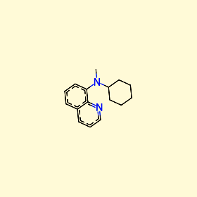 CN(c1cccc2cccnc12)C1CCCCC1